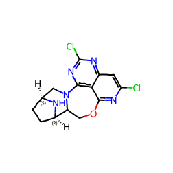 Clc1cc2nc(Cl)nc3c2c(n1)OCC1[C@H]2CC[C@@H](CN31)N2